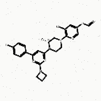 C[C@@H]1CN(c2ncc(OC=O)cc2Cl)CCN1c1cc(-c2ccc(F)cc2)nc(N2CCC2)n1